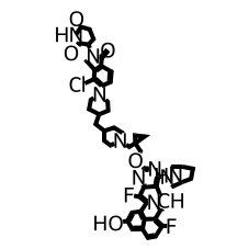 C#Cc1c(F)ccc2cc(O)cc(-c3ncc4c(N5CC6CCC(C5)N6)nc(OCC5(CN6CCC(CC7CCN(c8ccc9c(c8Cl)CN(C8CCC(=O)NC8=O)C9=O)CC7)CC6)CC5)nc4c3F)c12